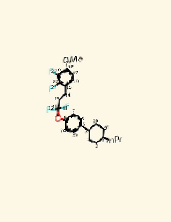 CCCC1CCC(c2ccc(OC(F)(F)CCc3ccc(OC)c(F)c3F)cc2)CC1